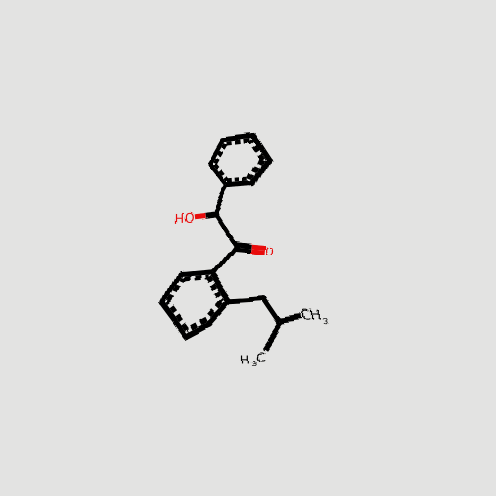 CC(C)Cc1ccccc1C(=O)C(O)c1ccccc1